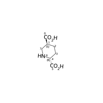 O=C(O)[C@H]1CC[C@H](C(=O)O)NC1